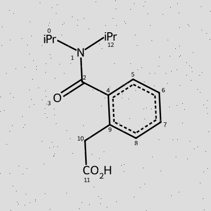 CC(C)N(C(=O)c1ccccc1CC(=O)O)C(C)C